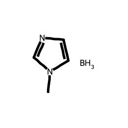 B.Cn1ccnc1